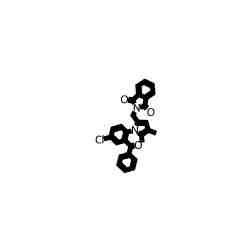 Cc1cc(CN2C(=O)c3ccccc3C2=O)n(-c2ccc(Cl)cc2C(=O)c2ccccc2)c1C